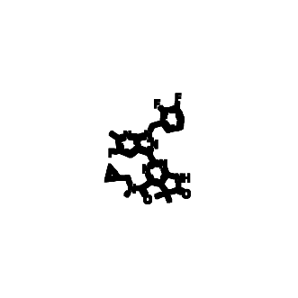 Cc1nc2c(cc1F)c(-c1nc3c(c(C(=O)N(C)CC4CC4)n1)C(C)(C)C(=O)N3)nn2Cc1cccc(F)c1F